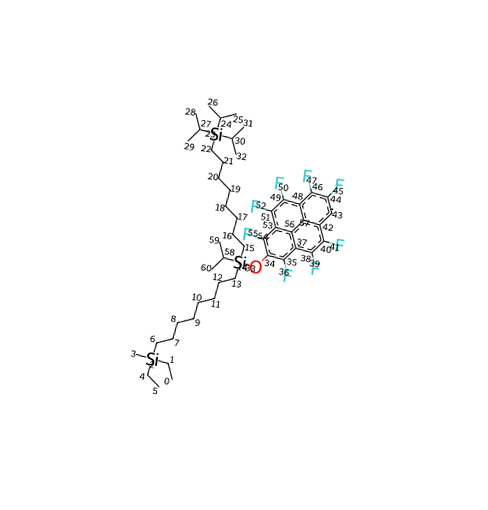 CC[Si](C)(CC)CCCCCCCC[Si](CCCCCCCC[Si](C(C)C)(C(C)C)C(C)C)(Oc1c(F)c2c(F)c(F)c3[c]c(F)c(F)c4c(F)c(F)c(c1F)c2c34)C(C)C